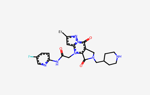 CCc1cc2n(CC(=O)Nc3ccc(F)cn3)c3c(c(=O)n2n1)CN(CC1CCNCC1)C3=O